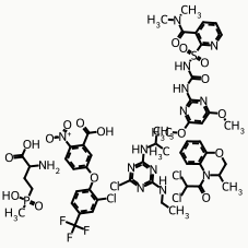 CC1COc2ccccc2N1C(=O)C(Cl)Cl.CCNc1nc(Cl)nc(NC(C)C)n1.COc1cc(OC)nc(NC(=O)NS(=O)(=O)c2ncccc2C(=O)N(C)C)n1.CP(=O)(O)CCC(N)C(=O)O.O=C(O)c1cc(Oc2ccc(C(F)(F)F)cc2Cl)ccc1[N+](=O)[O-]